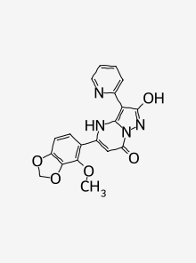 COc1c(-c2cc(=O)n3nc(O)c(-c4ccccn4)c3[nH]2)ccc2c1OCO2